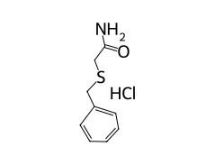 Cl.NC(=O)CSCc1ccccc1